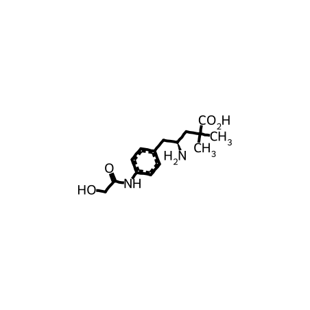 CC(C)(C[C@@H](N)Cc1ccc(NC(=O)CO)cc1)C(=O)O